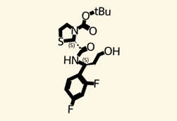 CC(C)(C)OC(=O)N1CCS[C@H]1C(=O)N[C@@H](CCO)c1ccc(F)cc1F